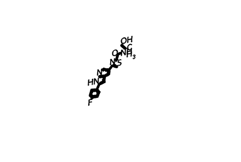 C[C@@H](CO)NC(=O)c1nc(-c2cnc3[nH]c(-c4ccc(F)cc4)cc3c2)cs1